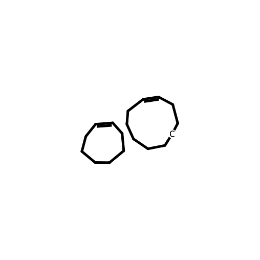 C1=CCCCCCCCC1.C1=C\CCCCCC/1